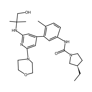 CC[C@@H]1CCN(C(=O)Nc2ccc(C)c(-c3cc(NC(C)(C)CO)nc(N4CCOCC4)c3)c2)C1